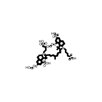 CC(C=C/C=C1/N(CCCCS(=O)(=O)O)c2ccc3cc(S(=O)(=O)O)cc(SOOO)c3c2C1(C)C)=CC=CC1=[N+](CCCCS(=O)(=O)O)C2CC=c3cc(SOOO)cc(S(=O)(=O)O)c3=C2C1(C)C